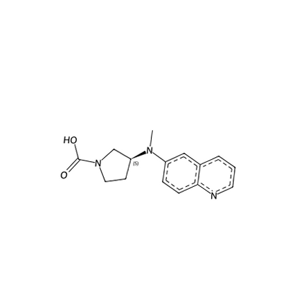 CN(c1ccc2ncccc2c1)[C@H]1CCN(C(=O)O)C1